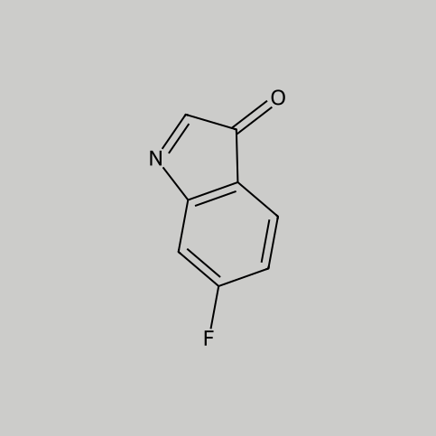 O=C1C=Nc2cc(F)ccc21